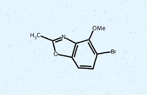 COc1c(Br)ccc2oc(C)nc12